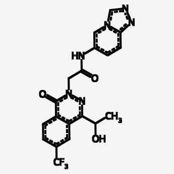 CC(O)c1nn(CC(=O)Nc2ccc3nncn3c2)c(=O)c2ccc(C(F)(F)F)cc12